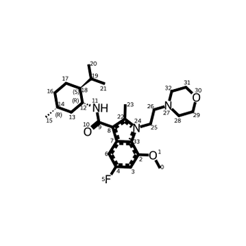 COc1cc(F)cc2c(C(=O)N[C@@H]3C[C@H](C)CC[C@H]3C(C)C)c(C)n(CCN3CCOCC3)c12